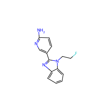 Nc1ccc(-c2nc3ccccc3n2CCF)cn1